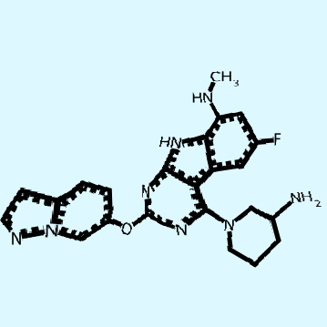 CNc1cc(F)cc2c1[nH]c1nc(Oc3ccc4ccnn4c3)nc(N3CCCC(N)C3)c12